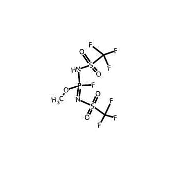 COP(F)(=NS(=O)(=O)C(F)(F)F)NS(=O)(=O)C(F)(F)F